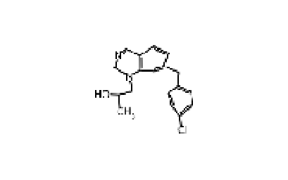 CC(O)CN1CN=Cc2ccc(Cc3ccc(Cl)cc3)cc21